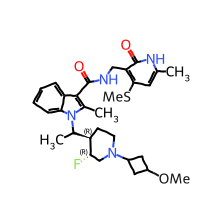 COC1CC(N2CC[C@H](C(C)n3c(C)c(C(=O)NCc4c(SC)cc(C)[nH]c4=O)c4ccccc43)[C@@H](F)C2)C1